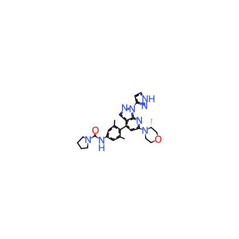 Cc1cc(NC(=O)N2CCCC2)cc(C)c1-c1cc(N2CCOC[C@H]2C)nc2c1cnn2-c1cc[nH]n1